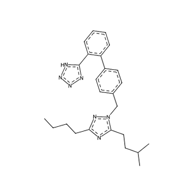 CCCCc1nc(CCC(C)C)n(Cc2ccc(-c3ccccc3-c3nnn[nH]3)cc2)n1